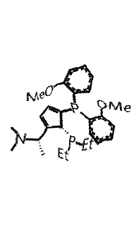 CCP(CC)[C@@H]1C([C@H](C)N(C)C)=CC=C1P(c1ccccc1OC)c1ccccc1OC